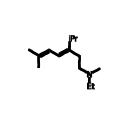 CCN(C)CC/C(=C/C=C(C)C)C(C)C